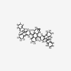 c1ccc2c(c1)C[Si]1(C2)c2ccccc2-c2cc(-c3c4ccccc4c(-c4ccc5c(c4)-c4ccccc4[Si]54Cc5ccccc5C4)c4cnccc34)ccc21